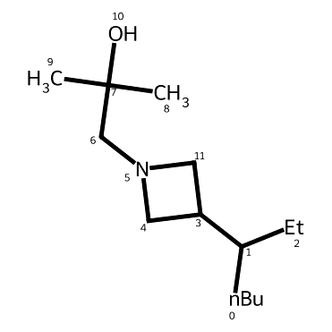 CCCCC(CC)C1CN(CC(C)(C)O)C1